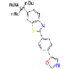 CCC[CH2][Sn]([CH2]CCC)([CH2]CCC)[c]1ccc2nc(-c3ccc(-c4cnco4)cc3)sc2c1